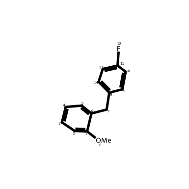 COc1c[c]ccc1Cc1ccc(F)cc1